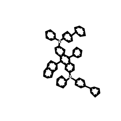 c1ccc(-c2ccc(N(c3ccccc3)c3ccc4c(-c5ccc6ccccc6c5)c5cc(N(c6ccccc6)c6ccc(-c7ccccc7)cc6)ccc5c(-c5ccccc5)c4c3)cc2)cc1